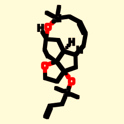 C=CC[Si](C)(C)O[C@@]12CCO[C@@]13CC[C@H]1C[C@H]3[C@H](C/C=C\C[Si](C)(C)O1)C2